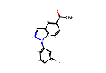 COC(=O)c1ccc2c(cnn2-c2cccc(F)c2)c1